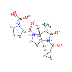 C[C@@H]1C(=O)N(C(=O)C2CC2)[C@H]2CCN(C(=O)[C@@H]3CCCN3C(=O)O)[C@H]12